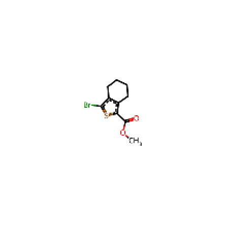 COC(=O)c1sc(Br)c2c1CCCC2